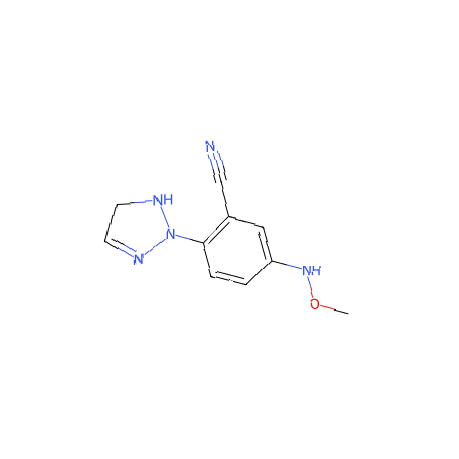 CONc1ccc(N2N=CCN2)c(C#N)c1